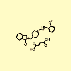 COc1ccccc1NCCN1CCC(CN2Cc3ccccc3C2=O)CC1.O=C(O)C=CC(=O)O